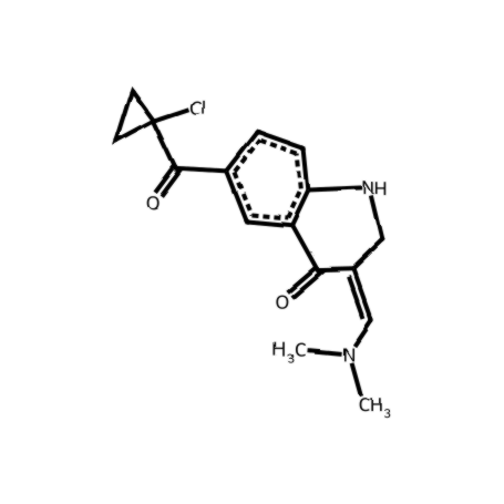 CN(C)/C=C1/CNc2ccc(C(=O)C3(Cl)CC3)cc2C1=O